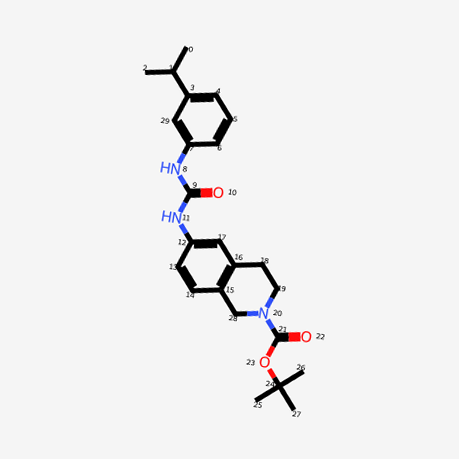 CC(C)c1cccc(NC(=O)Nc2ccc3c(c2)CCN(C(=O)OC(C)(C)C)C3)c1